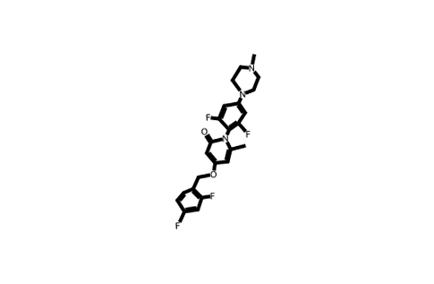 Cc1cc(OCc2ccc(F)cc2F)cc(=O)n1-c1c(F)cc(N2CCN(C)CC2)cc1F